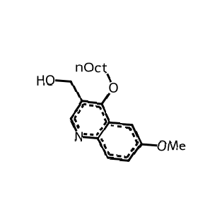 CCCCCCCCOc1c(CO)cnc2ccc(OC)cc12